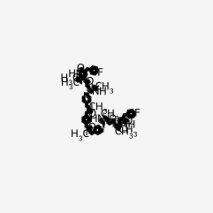 C[C@@H]1CN(CC(=O)N2CC(C)(C)c3[nH]c(=O)c(Cc4ccc(F)cc4)cc32)[C@@H](CN2CCC(CN(C)C(=O)Cc3ccc(CC(=O)N(C)CC4CCN(C[C@H]5CN[C@H](C)CN5CC(=O)N5CC(C)(C)c6[nH]c(=O)c(Cc7ccc(F)cc7)cc65)CC4)cc3)CC2)CN1